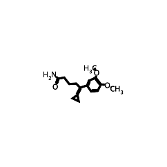 COc1ccc(C(CCCC(N)=O)=C2CC2)cc1OC